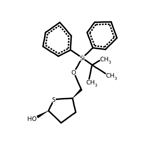 CC(C)(C)[Si](OC[C@H]1CC[C@@H](O)S1)(c1ccccc1)c1ccccc1